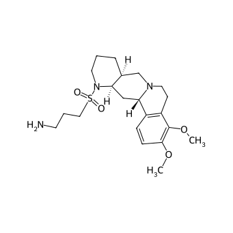 COc1ccc2c(c1OC)CCN1C[C@@H]3CCCN(S(=O)(=O)CCCN)[C@@H]3C[C@@H]21